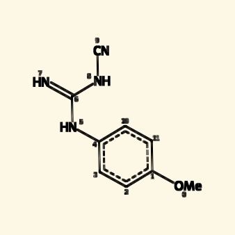 COc1ccc(NC(=N)NC#N)cc1